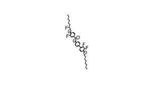 CCCCCCCCOc1ccc(-c2ccc(OC(=O)c3ccc(OCC(F)CCCCCC)c(F)c3)cc2)c(F)c1F